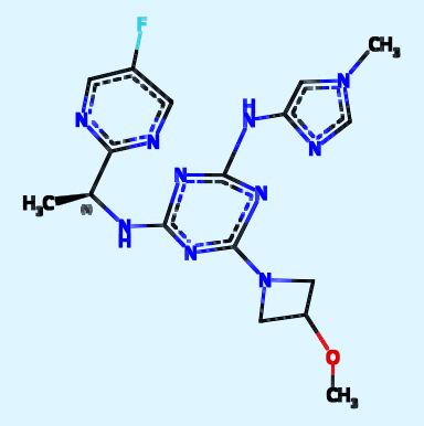 COC1CN(c2nc(Nc3cn(C)cn3)nc(N[C@@H](C)c3ncc(F)cn3)n2)C1